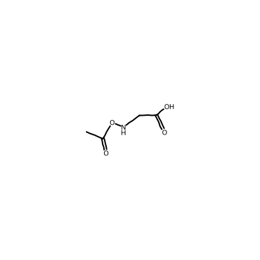 CC(=O)ONCC(=O)O